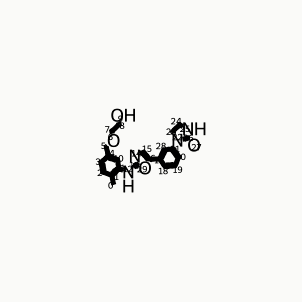 Cc1ccc(COCCO)cc1Nc1ncc(-c2cccc(N3CCNC3=O)c2)o1